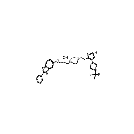 O[C@@H](COc1ccc2sc(-c3ccccc3)nc2c1)CN1CCN(CCc2n[nH]cc2-c2ccc(C(F)(F)F)cc2)CC1